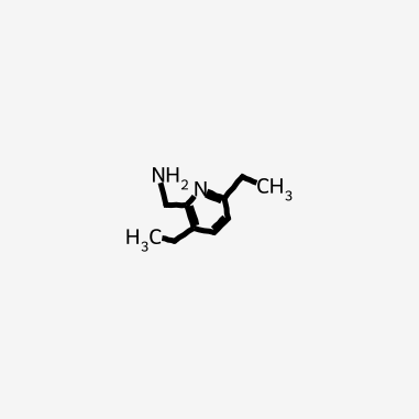 CCc1ccc(CC)c(CN)n1